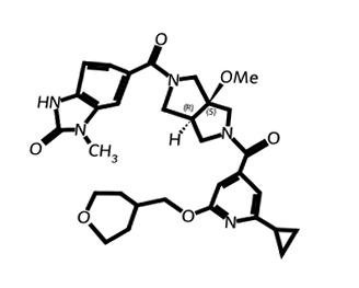 CO[C@@]12CN(C(=O)c3cc(OCC4CCOCC4)nc(C4CC4)c3)C[C@H]1CN(C(=O)c1ccc3[nH]c(=O)n(C)c3c1)C2